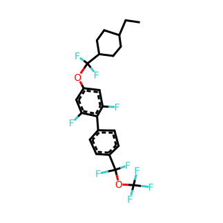 CCC1CCC(C(F)(F)Oc2cc(F)c(-c3ccc(C(F)(F)OC(F)(F)F)cc3)c(F)c2)CC1